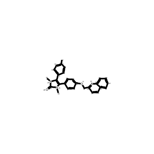 Cc1ccc(-c2c(-c3ccc(OCc4ccc5ccccc5n4)cc3)n(C)c(=O)n2C)cc1